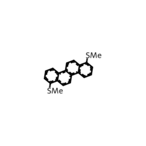 CSc1cccc2c1ccc1c3cccc(SC)c3ccc21